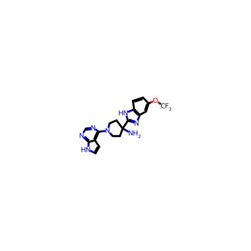 NC1(c2nc3cc(OC(F)(F)F)ccc3[nH]2)CCN(c2ncnc3[nH]ccc23)CC1